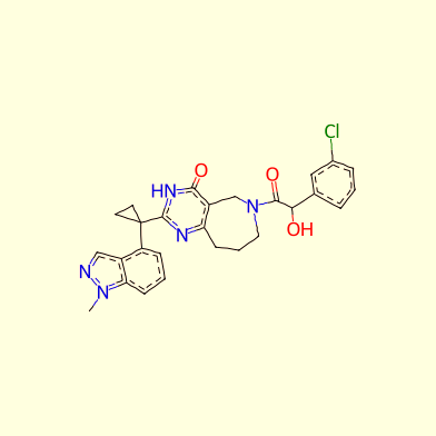 Cn1ncc2c(C3(c4nc5c(c(=O)[nH]4)CN(C(=O)C(O)c4cccc(Cl)c4)CCC5)CC3)cccc21